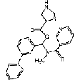 CN(C(=O)c1cccnc1)C(OC(=O)C1CNCS1)c1cccc(-c2ccccc2)c1